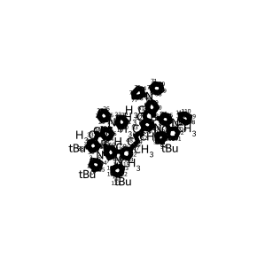 CC(C)(C)c1ccc(N2c3cc4c(cc3B3c5ccc(N(c6ccccc6)c6ccccc6)cc5C(C)(C)c5cc(C(C)(C)C)cc2c53)C2(C)CC(C(C)(C)CCC(C)(C)c3cc5c6c(c3)C(C)(C)c3cc(N(c7ccccc7)c7ccccc7)ccc3B6c3ccc6c(c3N5c3ccc(C(C)(C)C)cc3)C3(C)CCCCC3(C)N6c3ccccc3)CCC2(C)N4c2ccc(C(C)(C)C)cc2)cc1